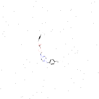 CCC(C)c1ccc(CN2CCN(CCOCCOCC#CC(C)C)CC2)cc1